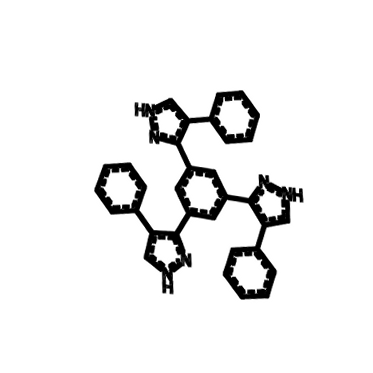 c1ccc(-c2c[nH]nc2-c2cc(-c3n[nH]cc3-c3ccccc3)cc(-c3n[nH]cc3-c3ccccc3)c2)cc1